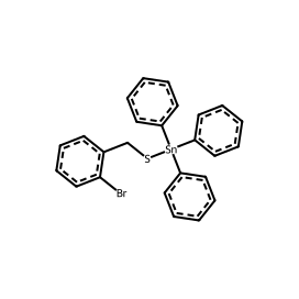 Brc1ccccc1C[S][Sn]([c]1ccccc1)([c]1ccccc1)[c]1ccccc1